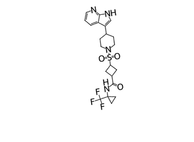 O=C(NC1(C(F)(F)F)CC1)C1CC(S(=O)(=O)N2CCC(c3c[nH]c4ncccc34)CC2)C1